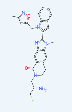 Cc1cc(Cn2c(-c3nc4cc5c(cc4n3C)CCN(C[C@H](N)CF)C5=O)cc3ccccc32)on1